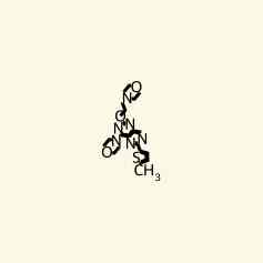 Cc1ccc(-c2ncc3nc(OCCN4CCOCC4)nc(N4CCOCC4)c3n2)s1